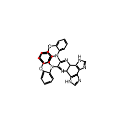 c1ccc2c(c1)Oc1ccccc1N2C1=NC2c3[nH]cnc3-c3nc[nH]c3C2N=C1N1c2ccccc2Oc2ccccc21